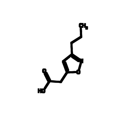 CCCc1cc(CC(=O)O)on1